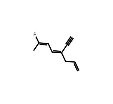 C#C/C(=C\C=C(/C)F)CC=C